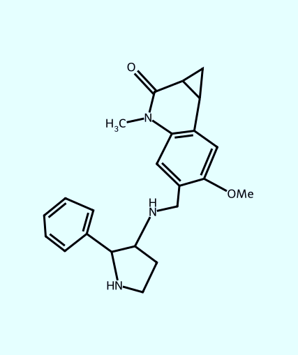 COc1cc2c(cc1CNC1CCNC1c1ccccc1)N(C)C(=O)C1CC21